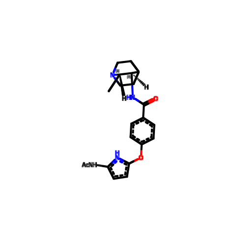 CC(=O)Nc1ccc(Oc2ccc(C(=O)N[C@@H]3C4CCN(CC4)[C@H]3C)cc2)[nH]1